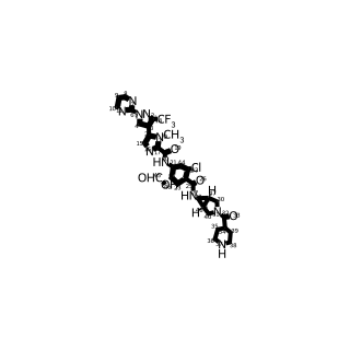 Cn1c(-c2cn(-c3ncccn3)nc2C(F)(F)F)cnc1C(=O)Nc1ccc(C(=O)NC2[C@H]3CN(C(=O)C4CCNCC4)C[C@@H]23)c(Cl)c1.O=CO